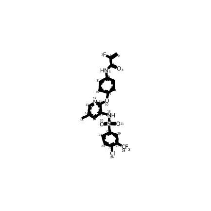 C=C(F)C(=O)Nc1ccc(Oc2ncc(C)cc2NS(=O)(=O)c2ccc(Cl)c(C(F)(F)F)c2)cc1